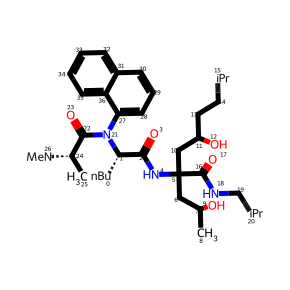 CCCC[C@@H](C(=O)NC(CC(C)O)(CC(O)CCC(C)C)C(=O)NCC(C)C)N(C(=O)[C@H](C)NC)c1cccc2ccccc12